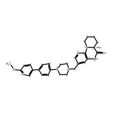 COc1ccc(-c2ccc(N3CCN(Cc4cnc5c(c4)NC(=O)[C@@H]4CCCCN54)CC3)cc2)cn1